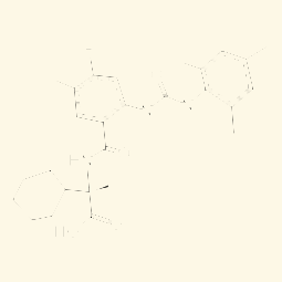 Cc1cc(C)c(NC(=O)Nc2cc(F)c(F)cc2C(=O)N[C@](C)(C(=O)O)C2CCCCC2)c(C)c1